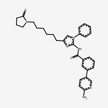 Nc1ccc(-c2cccc(C(=O)Nc3nc(CCCCCCN4CCCC4=O)cn3-c3ccccc3)c2)cn1